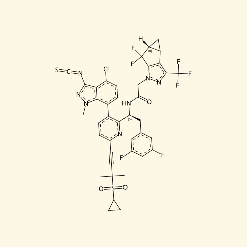 Cn1nc(N=C=S)c2c(Cl)ccc(-c3ccc(C#CC(C)(C)S(=O)(=O)C4CC4)nc3[C@H](Cc3cc(F)cc(F)c3)NC(=O)Cn3nc(C(F)(F)F)c4c3C(F)(F)[C@@H]3CC43)c21